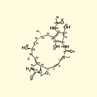 CO[C@H]1/C=C\C=C(/C)C(=O)Nc2cc(O)c(NC(C)=O)c(c2O)C[C@@H](C)CC[C@H](O)[C@@H](C)/C=C(\C)[C@@H]1OC(N)=O